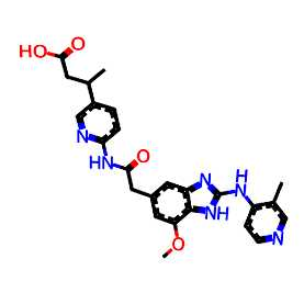 COc1cc(CC(=O)Nc2ccc(C(C)CC(=O)O)cn2)cc2nc(Nc3ccncc3C)[nH]c12